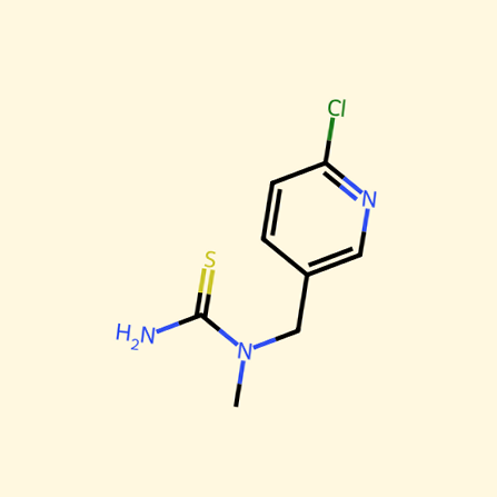 CN(Cc1ccc(Cl)nc1)C(N)=S